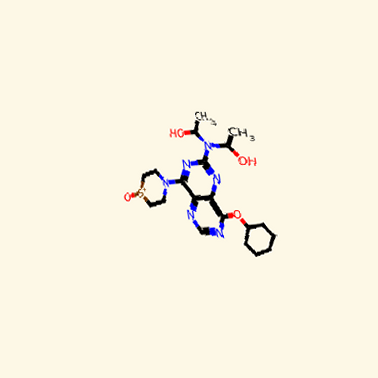 CC(O)N(c1nc(N2CC[S+]([O-])CC2)c2ncnc(OC3CCCCC3)c2n1)C(C)O